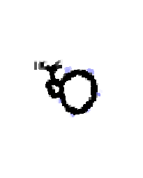 O=C(O)C1=C2\C=C/C=C\C=C/C=C\C=C/C=C\2C=C1